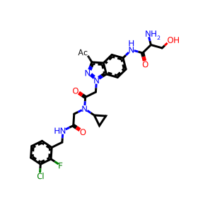 CC(=O)c1nn(CC(=O)N(CC(=O)NCc2cccc(Cl)c2F)C2CC2)c2ccc(NC(=O)C(N)CO)cc12